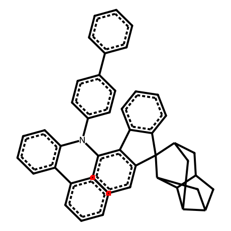 c1ccc(-c2ccc(N(c3ccccc3-c3ccccc3)c3cccc4c3-c3ccccc3C43C4CC5CC6CC3C5C6C4)cc2)cc1